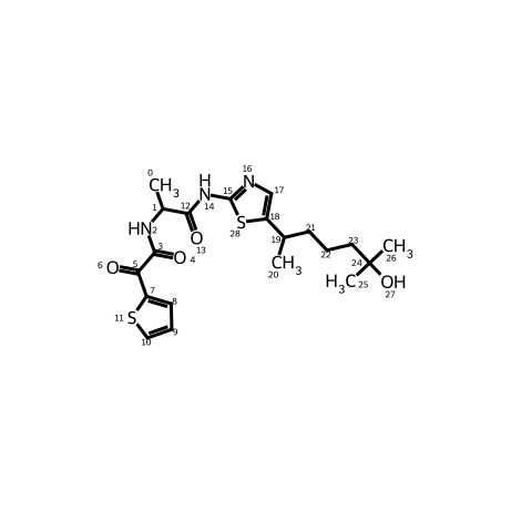 CC(NC(=O)C(=O)c1cccs1)C(=O)Nc1ncc(C(C)CCCC(C)(C)O)s1